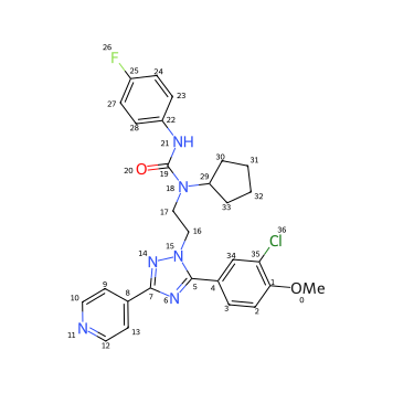 COc1ccc(-c2nc(-c3ccncc3)nn2CCN(C(=O)Nc2ccc(F)cc2)C2CCCC2)cc1Cl